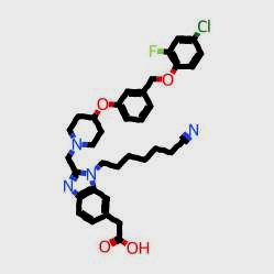 N#CCCCCCCn1c(CN2CCC(Oc3cccc(COc4ccc(Cl)cc4F)c3)CC2)nc2ccc(CC(=O)O)cc21